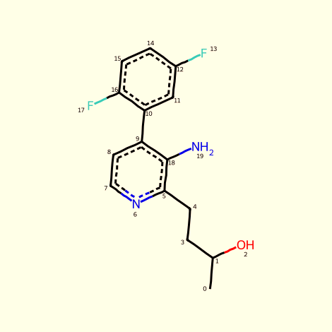 CC(O)CCc1nccc(-c2cc(F)ccc2F)c1N